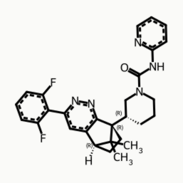 CC1(C)[C@H]2CC[C@]1([C@H]1CCCN(C(=O)Nc3ccccn3)C1)c1nnc(-c3c(F)cccc3F)cc12